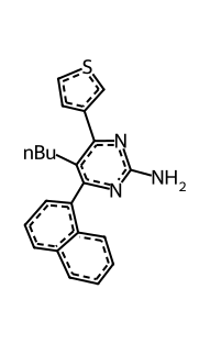 CCCCc1c(-c2ccsc2)nc(N)nc1-c1cccc2ccccc12